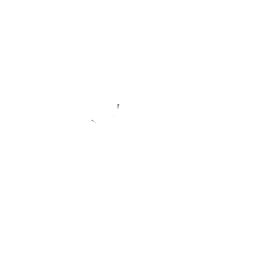 CCCCOCC1O[C@H](C=O)C(OCCCC)[C@@H](OCCCC)[C@H]1OCCCC